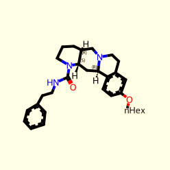 CCCCCCOc1ccc2c(c1)CCN1C[C@H]3CCCN(C(=O)NCCc4ccccc4)[C@H]3C[C@H]21